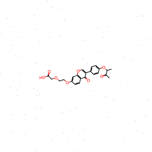 CC(=O)C(C)Oc1ccc(-c2coc3cc(OCCOCC(=O)O)ccc3c2=O)cc1